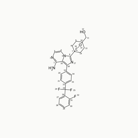 Nc1nccn2c(C34CCC(CO)(CC3)OC4)nc(-c3ccc(C(F)(F)c4ccccc4F)cc3)c12